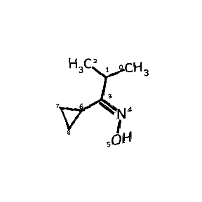 CC(C)/C(=N/O)C1CC1